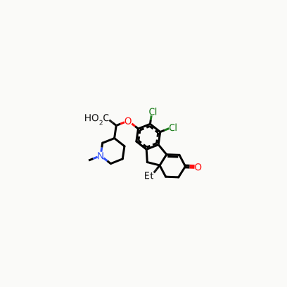 CCC12CCC(=O)C=C1c1c(cc(OC(C(=O)O)C3CCCN(C)C3)c(Cl)c1Cl)C2